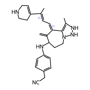 C=C1/C(=C\C=C(/C)C2=CCNCC2)C2=C(C)NNN2CCC1Nc1ccc(CC#N)cc1